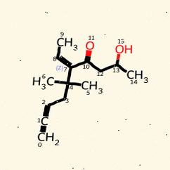 C=C=CCC(C)(C)/C(=C/C)C(=O)CC(C)O